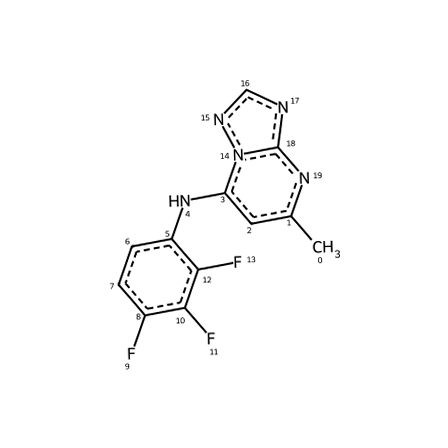 Cc1cc(Nc2ccc(F)c(F)c2F)n2ncnc2n1